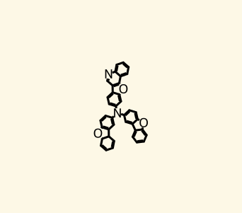 C1=CC2Oc3ccc(N(c4ccc5c(c4)oc4c6ccccc6ncc54)c4ccc5oc6ccccc6c5c4)cc3C2C=C1